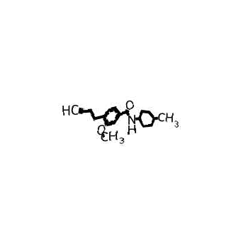 C#CCCc1ccc(C(=O)NC2CCC(C)CC2)cc1OC